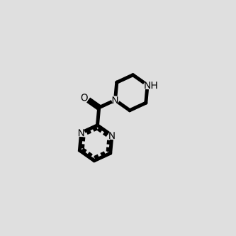 O=C(c1ncccn1)N1CCNCC1